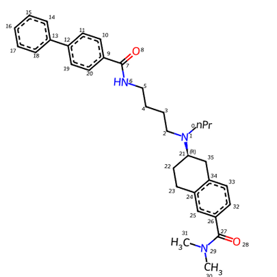 CCCN(CCCCNC(=O)c1ccc(-c2ccccc2)cc1)[C@@H]1CCc2cc(C(=O)N(C)C)ccc2C1